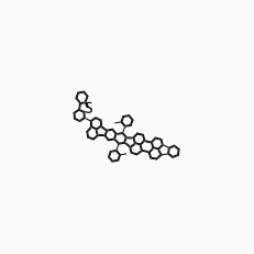 Cc1ccccc1-c1c2cc3c(cc2c(-c2ccccc2C)c2c4ccc5c6ccc7c8c(ccc(c9ccc(c12)c4c95)c86)-c1ccccc1-7)c1ccc(-c2cccc4c2sc2ccccc24)c2cccc3c21